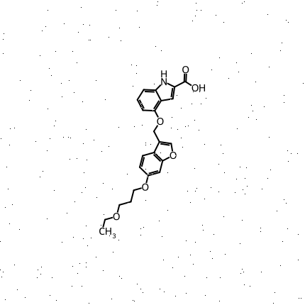 CCOCCCOc1ccc2c(COc3cccc4[nH]c(C(=O)O)cc34)coc2c1